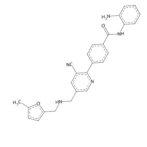 Cc1ccc(CNCc2cnc(-c3ccc(C(=O)Nc4ccccc4N)cc3)c(C#N)c2)o1